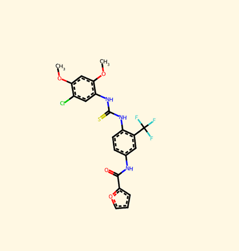 COc1cc(OC)c(NC(=S)Nc2ccc(NC(=O)c3ccco3)cc2C(F)(F)F)cc1Cl